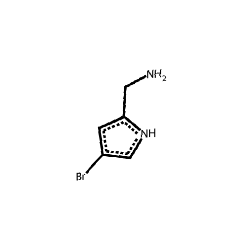 NCc1cc(Br)c[nH]1